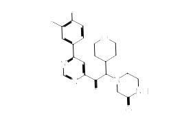 O=C1CN(C(C(=O)c2cc(-c3ccc(Cl)c(Cl)c3)ncn2)C2CCOCC2)CCN1